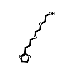 OCCOCCOCCCC1=NCCO1